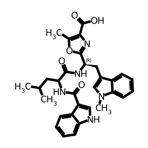 Cc1oc([C@@H](Cc2cn(C)c3ccccc23)NC(=O)C(CC(C)C)NC(=O)c2c[nH]c3ccccc23)nc1C(=O)O